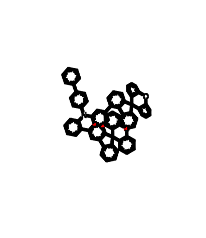 c1ccc(-c2ccc(N(c3cccc(-c4cccc5c4-c4ccccc4C54c5ccccc5Oc5ccccc54)c3)c3ccccc3-c3ccc4c(c3)-c3ccccc3C43c4ccccc4Oc4ccccc43)cc2)cc1